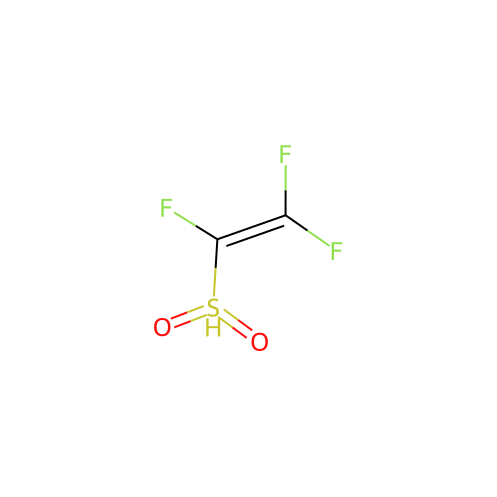 O=[SH](=O)C(F)=C(F)F